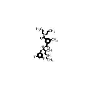 CCCN(CCC)C(=O)c1cc(C)cc(C(=O)N[C@@H](Cc2cc(F)cc(F)c2)[C@H](O)CNCC)c1